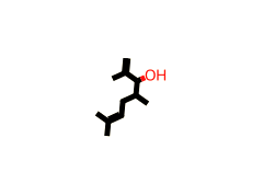 C=C(C)C(O)C(C)CC=C(C)C